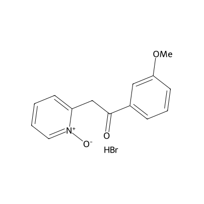 Br.COc1cccc(C(=O)Cc2cccc[n+]2[O-])c1